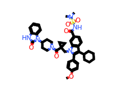 COc1ccc(-c2c(C3CCCCC3)c3ccc(C(=O)NS(=O)(=O)N(C)C)cc3n2CC2(C(=O)N3CCC(n4c(=O)[nH]c5ccccc54)CC3)CC2)cc1